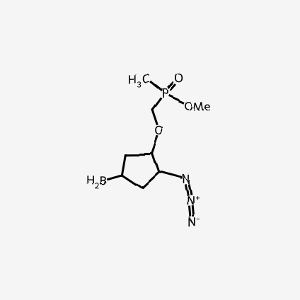 BC1CC(N=[N+]=[N-])C(OCP(C)(=O)OC)C1